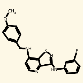 COc1ccc(CNc2ccnc3c(Nc4cccc(F)c4)nsc23)cc1